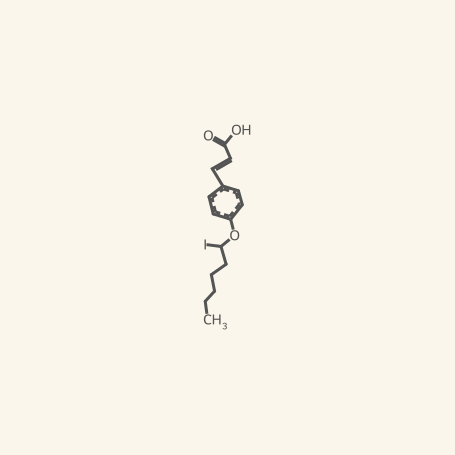 CCCCCC(I)Oc1ccc(C=CC(=O)O)cc1